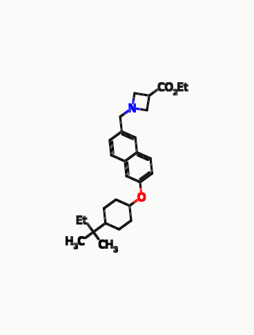 CCOC(=O)C1CN(Cc2ccc3cc(OC4CCC(C(C)(C)CC)CC4)ccc3c2)C1